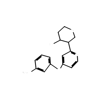 CCC1CCNCC1c1cc(Oc2cccc(OC)c2)ccn1